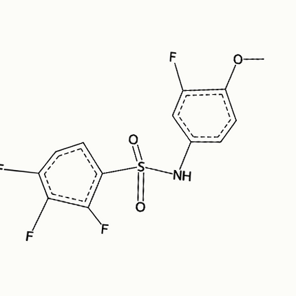 COc1ccc(NS(=O)(=O)c2ccc(F)c(F)c2F)cc1F